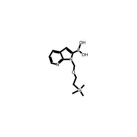 C[Si](C)(C)CCOCn1c(B(O)O)cc2cccnc21